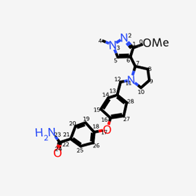 COc1nn(C)cc1C1CCCN1Cc1ccc(Oc2ccc(C(N)=O)cc2)cc1